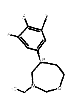 OCN1COCC[C@H](c2cc(F)c(F)c(F)c2)C1